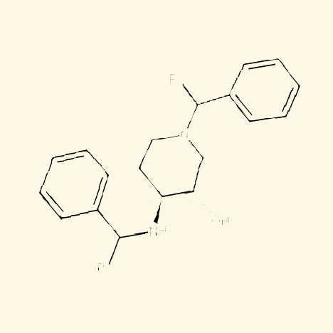 CCC(c1ccccc1)N1CC[C@H](NC(c2ccccc2)C(C)C)[C@@H](O)C1